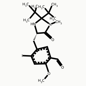 COc1cc(I)c(C[C@@H]2NC(C(C)(C)C)(C(C)(C)C)N(C)C2=O)cc1C=O